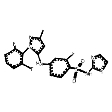 Cc1cc(Nc2ccc(S(=O)(=O)Nc3nccs3)c(F)c2)n(-c2c(F)cccc2F)n1